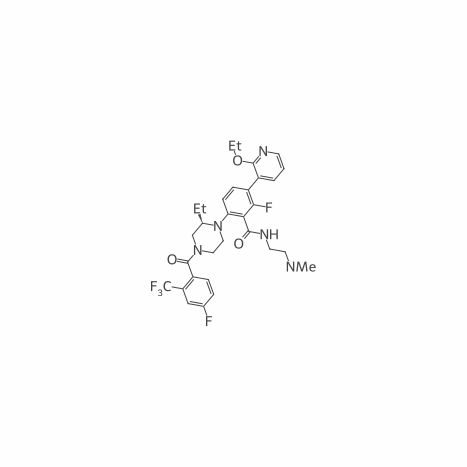 CCOc1ncccc1-c1ccc(N2CCN(C(=O)c3ccc(F)cc3C(F)(F)F)C[C@H]2CC)c(C(=O)NCCNC)c1F